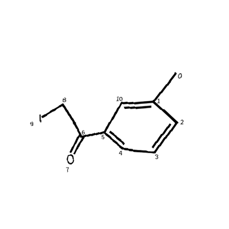 Cc1cccc(C(=O)CI)c1